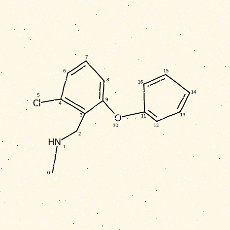 CNCc1c(Cl)cccc1Oc1ccccc1